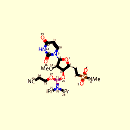 CNS(=O)(=O)CC[C@H]1O[C@@H](n2ccc(=O)[nH]c2=O)[C@H](OC)[C@@H]1OP(OCCC#N)N(C(C)C)C(C)C